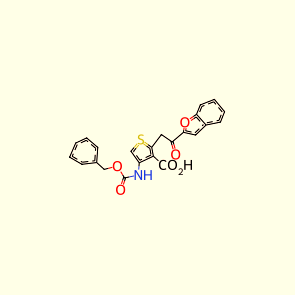 O=C(Nc1csc(CC(=O)c2cc3ccccc3o2)c1C(=O)O)OCc1ccccc1